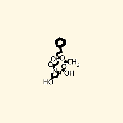 CCOP(=O)(CCc1ccccc1)CC(=O)N1CC(O)C[C@H]1C(=O)O